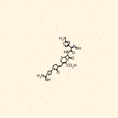 N=C(N)N1CC(N2CCC(=CC3=C(C(=O)O)N4C(=O)C(NC(=O)/C(=N\O)c5csc(N)n5)C4SC3)C2=O)C1